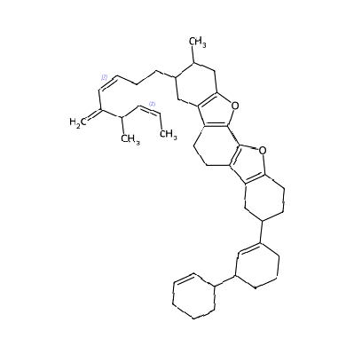 C=C(/C=C\CCC1Cc2c(oc3c2CCc2c-3oc3c2CC(C2=CC(C4C=CCCC4)CCC2)CC3)CC1C)C(C)/C=C\C